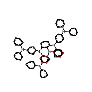 c1ccc(N(c2ccccc2)c2ccc(N(c3ccccc3)c3cccc(N(c4ccccc4)c4ccc(N(c5ccccc5)c5ccccc5)cc4)c3N(c3ccccc3)c3ccc(N(c4ccccc4)c4ccccc4)cc3)cc2)cc1